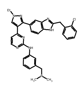 CCn1cc(-c2ccnc(Nc3cccc(CN(C)C)c3)n2)c(-c2ccc3[nH]c(Cc4ccccc4Cl)nc3c2)n1